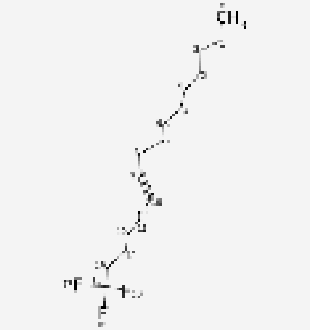 CCCCCC[CH]CCC#CCCCCC(F)(F)F